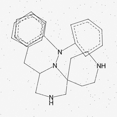 c1ccc(CC2CNCC3(CCNCC3)N2N(c2ccccc2)c2ccccc2)cc1